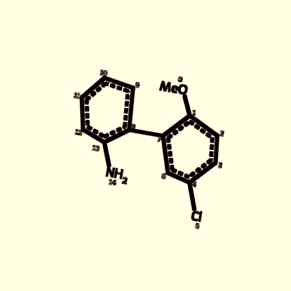 COc1ccc(Cl)cc1-c1ccccc1N